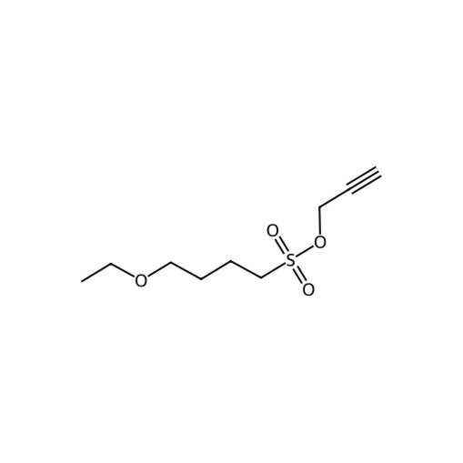 C#CCOS(=O)(=O)CCCCOCC